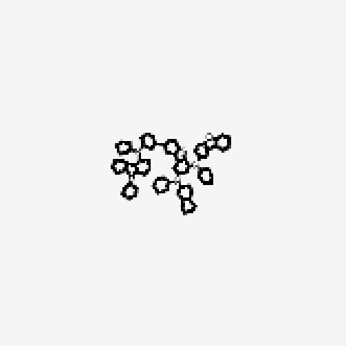 c1ccc(N(c2ccc3ccccc3c2)c2cc(N(c3ccccc3)c3ccc4oc5ccccc5c4c3)c3sc4ccc(-c5cccc(N(c6ccccc6)c6cccc7c6c6ccccc6n7-c6ccccc6)c5)cc4c3c2)cc1